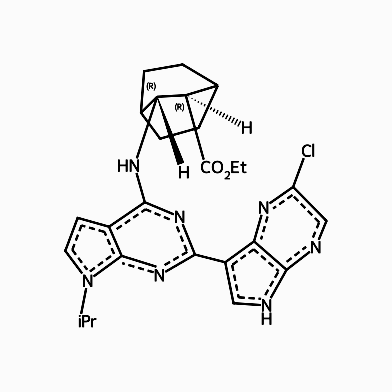 CCOC(=O)[C@@H]1C2CCC(CC2)[C@H]1Nc1nc(-c2c[nH]c3ncc(Cl)nc23)nc2c1ccn2C(C)C